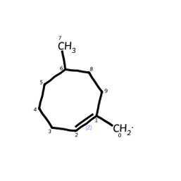 [CH2]/C1=C/CCCC(C)CC1